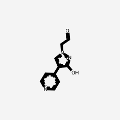 O=CCn1cc(-c2ccncc2)c(O)n1